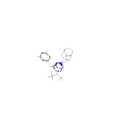 [2H]C([2H])([2H])C(n1nc(N[C@@H]2[C@@H]3CC[C@H]2CN(c2cc(C)ncn2)C3)nc1Oc1cc(F)cc(Cl)c1)C([2H])([2H])[2H]